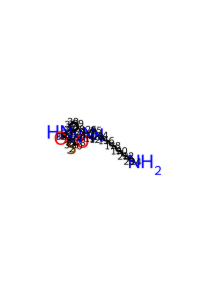 Cc1scc2c1N(C(=O)CN1CCN(CCCCCCCCCCN)CC1)c1ccccc1NC2=O